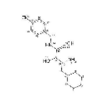 Cl.N[C@H](CC1CCCCC1)C(O)C(=O)NCc1ccc(Cl)cc1